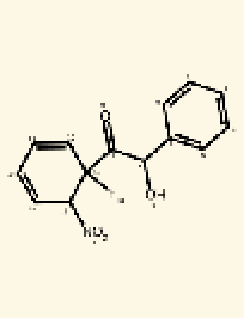 O=C(C(O)c1ccccc1)C1(F)C=CC=CC1[N+](=O)[O-]